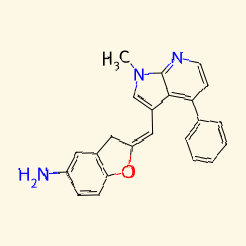 Cn1cc(C=C2Cc3cc(N)ccc3O2)c2c(-c3ccccc3)ccnc21